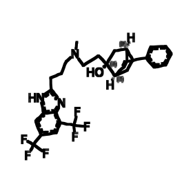 CN(CCCc1nc2c(C(F)(F)F)cc(C(F)(F)F)cc2[nH]1)CC[C@]1(O)C[C@H]2CC[C@@H]1C=C2c1ccccc1